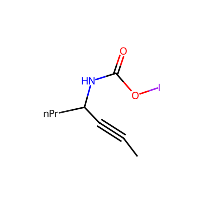 CC#CC(CCC)NC(=O)OI